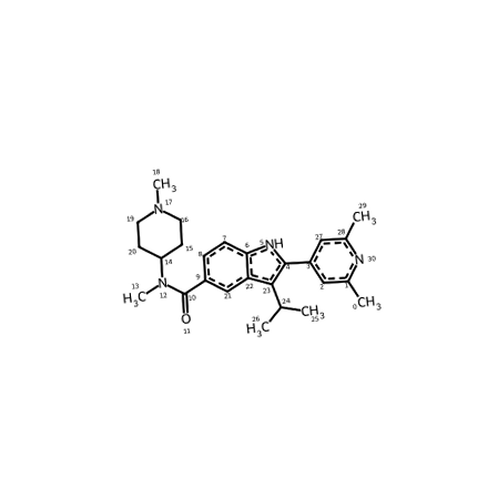 Cc1cc(-c2[nH]c3ccc(C(=O)N(C)C4CCN(C)CC4)cc3c2C(C)C)cc(C)n1